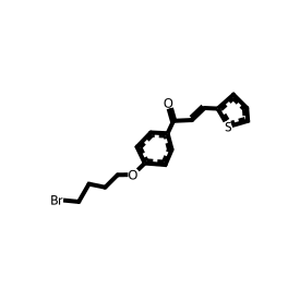 O=C(C=Cc1cccs1)c1ccc(OCCCCBr)cc1